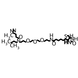 CC(C)CCN(CCCOCCOCCOCCCNC(=O)CCCCC1SC[C@@H]2NC(=O)N[C@H]12)C(=O)CCC1(C)N=N1